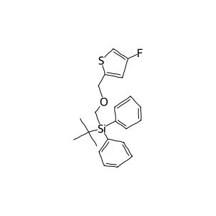 CC(C)(C)[Si](COCc1cc(F)cs1)(c1ccccc1)c1ccccc1